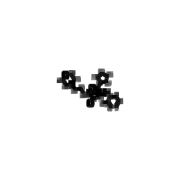 O=C(N[C@H](Cc1ccccc1)C(=O)NCCCN1CCOCC1)C1CCCC1